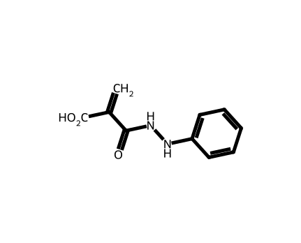 C=C(C(=O)O)C(=O)NNc1ccccc1